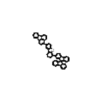 c1ccc2c(c1)-c1cccc3c(-c4ccc5oc6c(-c7ccc8c(c7)C7(c9ccccc9-c9ccccc97)c7ccccc7-8)cccc6c5c4)ccc-2c13